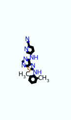 Cc1cccc(C)c1Nc1nc2c(Nc3ccc(C#N)nc3)ncnc2s1